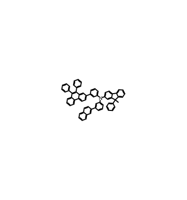 CC1(c2ccccc2)c2ccccc2-c2ccc(N(c3cccc(-c4ccc5ccccc5c4)c3)c3cccc(-c4ccc5c(c4)c(-c4ccccc4)c(-c4ccccc4)c4ccccc45)c3)cc21